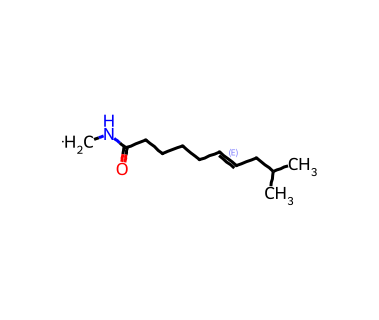 [CH2]NC(=O)CCCC/C=C/CC(C)C